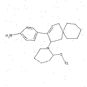 CCOC1CCCCN1C1CC2(CC=C1c1ccc(N)cc1)CCCCC2